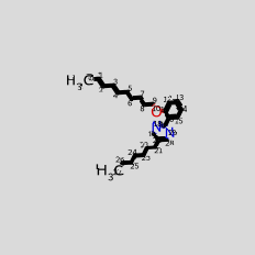 CCCCCCCCCCOc1ccccc1-c1ncc(CCCCCCC)cn1